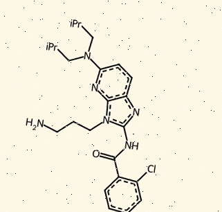 CC(C)CN(CC(C)C)c1ccc2nc(NC(=O)c3ccccc3Cl)n(CCCN)c2n1